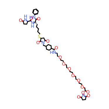 O=C1CCC(C(=O)N[C@@H](CCCCCSC2CC(=O)N(CC3CCC(C(=O)NCCOCCOCCOCCOCCOCCOCC(=O)ON4C(=O)CCC4=O)CC3)C2=O)C(=O)Nc2ccccc2)N1